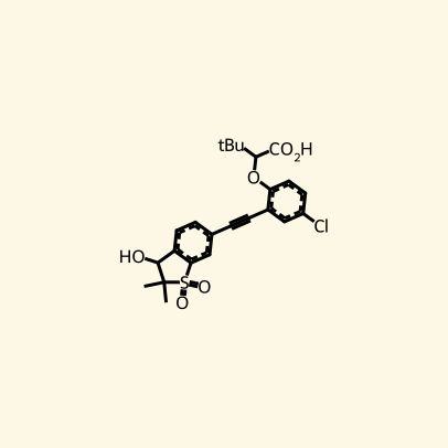 CC(C)(C)C(Oc1ccc(Cl)cc1C#Cc1ccc2c(c1)S(=O)(=O)C(C)(C)C2O)C(=O)O